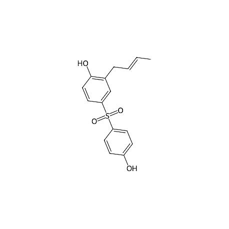 CC=CCc1cc(S(=O)(=O)c2ccc(O)cc2)ccc1O